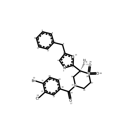 C[C@@]1(c2ncc(Cc3ccccc3)s2)CN(C(=O)c2ccc(Br)c(Cl)c2)CCS1(=O)=O